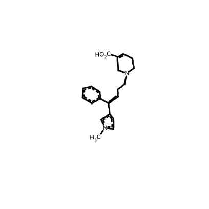 Cn1ccc(C(=CCCN2CCC=C(C(=O)O)C2)c2ccccc2)c1